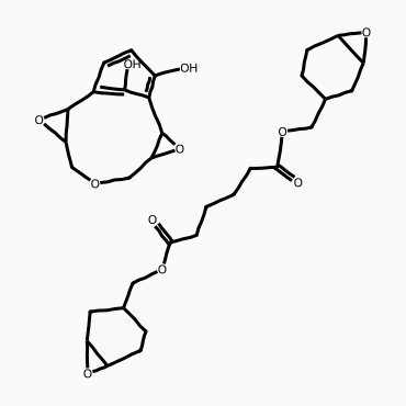 O=C(CCCCC(=O)OCC1CCC2OC2C1)OCC1CCC2OC2C1.Oc1ccc2c(O)c1C1OC1COCC1OC21